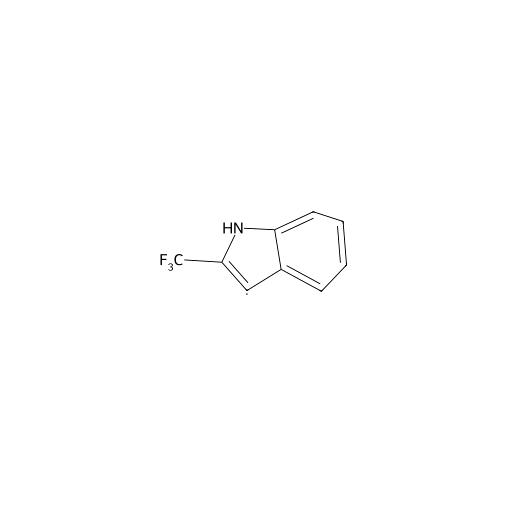 FC(F)(F)c1[c]c2ccccc2[nH]1